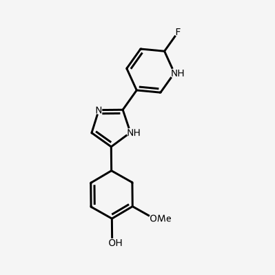 COC1=C(O)C=CC(c2cnc(C3=CNC(F)C=C3)[nH]2)C1